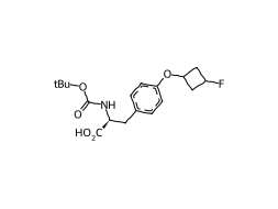 CC(C)(C)OC(=O)N[C@@H](Cc1ccc(OC2CC(F)C2)cc1)C(=O)O